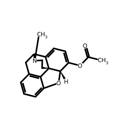 CC(=O)OC1=CC=C2C3Cc4cccc5c4[C@@]2(CCN3C)[C@H]1O5